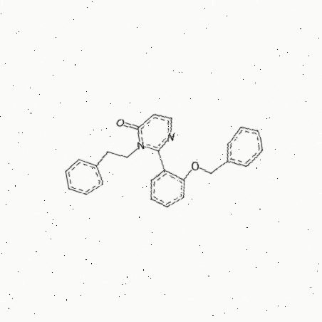 O=c1ccnc(-c2ccccc2OCc2ccccc2)n1CCc1ccccc1